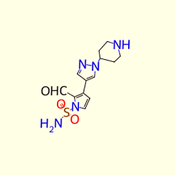 NS(=O)(=O)n1ccc(-c2cnn(C3CCNCC3)c2)c1C=O